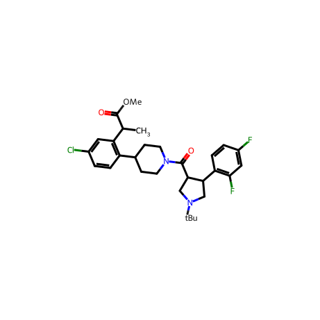 COC(=O)C(C)c1cc(Cl)ccc1C1CCN(C(=O)C2CN(C(C)(C)C)CC2c2ccc(F)cc2F)CC1